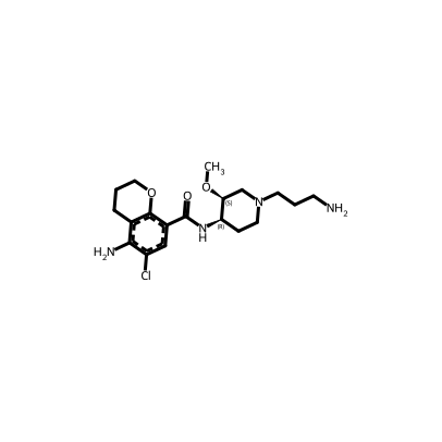 CO[C@H]1CN(CCCN)CC[C@H]1NC(=O)c1cc(Cl)c(N)c2c1OCCC2